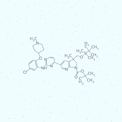 CN1CCC(Oc2ccc(Cl)cc2Nc2nccc(-c3cnc4c(c3)C(C)(CO[Si](C)(C)C(C)(C)C)CN4C(=O)OC(C)(C)C)n2)CC1